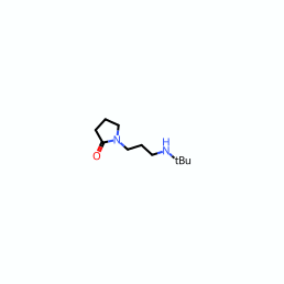 CC(C)(C)NCCCN1CCCC1=O